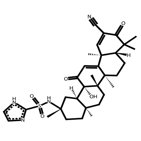 CC1(C)C(=O)C(C#N)=C[C@]2(C)C3=CC(=O)[C@]4(O)[C@@H]5C[C@@](C)(NS(=O)(=O)c6ncc[nH]6)CC[C@]5(C)CC[C@@]4(C)[C@]3(C)CC[C@@H]12